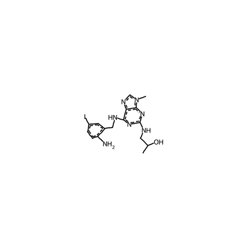 CC(O)CNc1nc(NCc2cc(I)ccc2N)c2ncn(C)c2n1